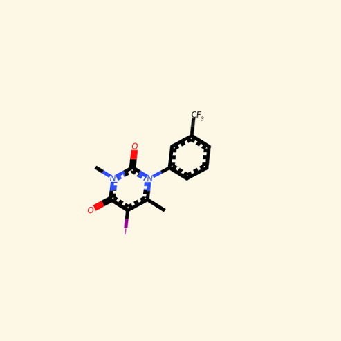 Cc1c(I)c(=O)n(C)c(=O)n1-c1cccc(C(F)(F)F)c1